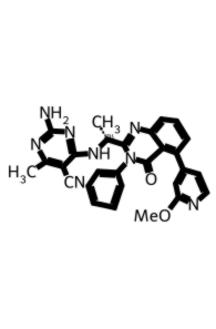 COc1cc(-c2cccc3nc([C@@H](C)Nc4nc(N)nc(C)c4C#N)n(-c4ccccc4)c(=O)c23)ccn1